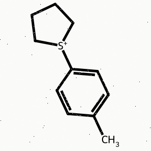 Cc1ccc([S+]2CCCC2)cc1